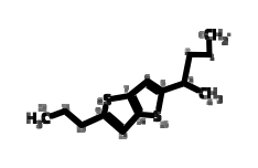 [CH2]CCC(C)c1cc2sc(CCC)cc2s1